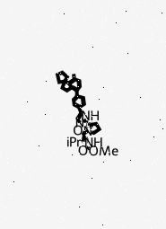 COC(=O)N[C@H](C(=O)N1CCC[C@H]1c1ncc(-c2ccc(-c3ccc(C)c4c3CCC43CCCC3)cc2)[nH]1)C(C)C